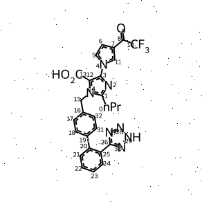 CCCc1nc(-n2ccc(C(=O)C(F)(F)F)c2)c(C(=O)O)n1Cc1ccc(-c2ccccc2-c2nn[nH]n2)cc1